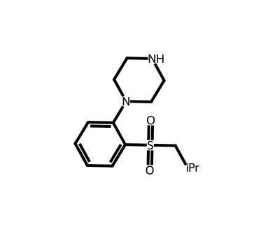 CC(C)CS(=O)(=O)c1ccccc1N1CCNCC1